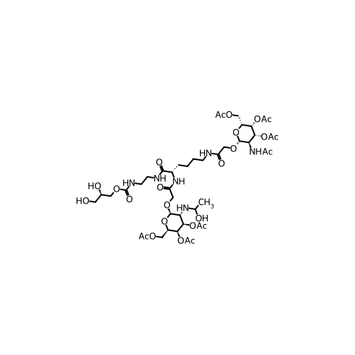 CC(=O)N[C@H]1[C@H](OCC(=O)NCCCC[C@H](NC(=O)CO[C@@H]2O[C@H](COC(C)=O)[C@H](OC(C)=O)[C@H](OC(C)=O)[C@H]2NC(C)O)C(=O)NCCNC(=O)OC[C@H](O)CO)O[C@H](COC(C)=O)[C@H](OC(C)=O)[C@@H]1OC(C)=O